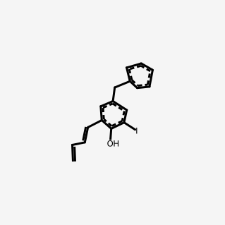 C=C/C=C/c1cc(Cc2ccccc2)cc(I)c1O